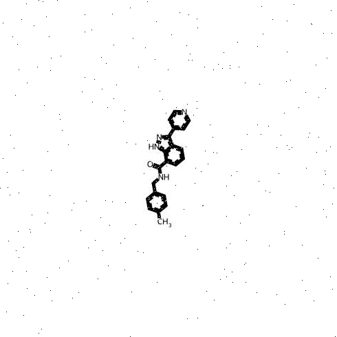 Cc1ccc(CNC(=O)c2cccc3c(-c4ccncc4)n[nH]c23)cc1